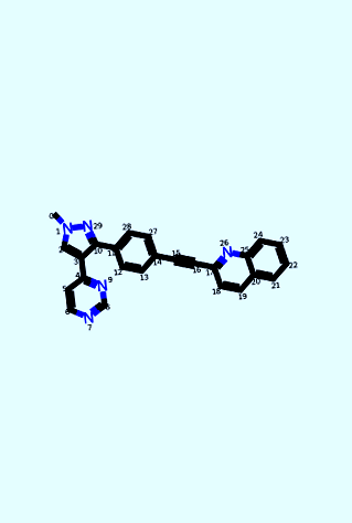 Cn1cc(-c2ccncn2)c(-c2ccc(C#Cc3ccc4ccccc4n3)cc2)n1